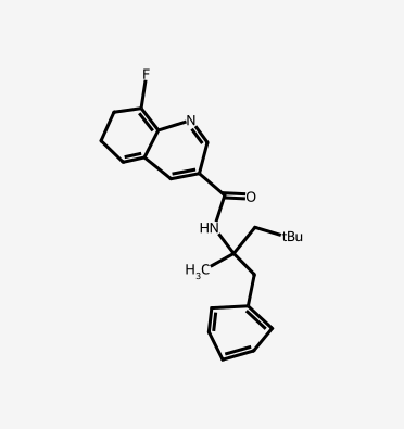 CC(C)(C)CC(C)(Cc1ccccc1)NC(=O)c1cnc2c(c1)=CCCC=2F